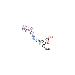 COc1cccc([C@H]2COc3cc(O)ccc3[C@H]2c2ccc(N3CCC(CN4CCN(c5ccc6c(c5)CN([C@H]5CCC(=O)NC5=O)C6=O)CC4)CC3)c(F)c2)c1